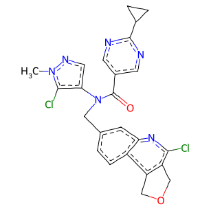 Cn1ncc(N(Cc2ccc3c4c(c(Cl)nc3c2)COC4)C(=O)c2cnc(C3CC3)nc2)c1Cl